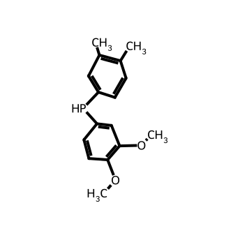 COc1ccc(Pc2ccc(C)c(C)c2)cc1OC